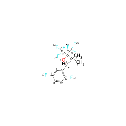 CC(C)(C)C(OCc1cc(F)ccc1F)(C(F)(F)F)C(F)(F)F